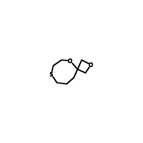 C1CSCCOC2(C1)COC2